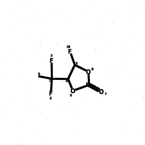 CC(F)(F)C1OC(=O)OC1F